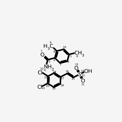 Cc1ccc(C(N)=O)c(C)c1.O=S(=O)(O)/C=C/c1ccc(Cl)c(Cl)c1